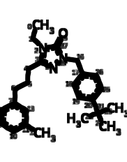 CCn1c(CCCc2cccc(C)c2)nn(Cc2ccc(C(C)(C)C)cc2)c1=O